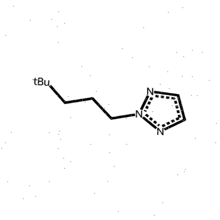 CC(C)(C)CCCn1nccn1